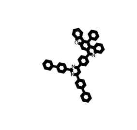 c1ccc(-c2ccc(-c3cc(-c4ccc(-c5nc6ccccc6c6c(-c7ccccc7)c7c(cc56)oc5ccccc57)cc4)nc(-c4ccc(-c5ccccc5)cc4)n3)cc2)cc1